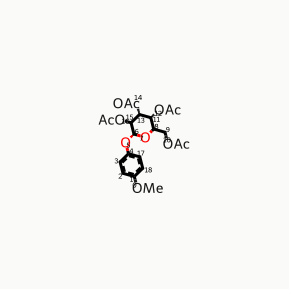 COc1ccc(O[C@@H]2OC(COC(C)=O)[C@H](OC(C)=O)[C@H](OC(C)=O)C2OC(C)=O)cc1